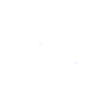 Cn1cccc1CCN=C=O